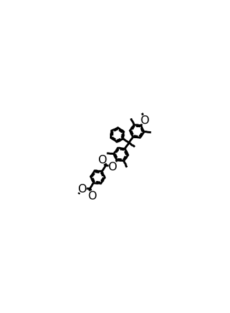 COC(=O)c1ccc(C(=O)Oc2c(C)cc(C(C)(c3ccccc3)c3cc(C)c(OC)c(C)c3)cc2C)cc1